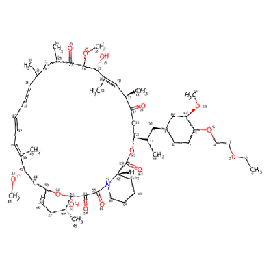 CCOCCOC1CC[C@@H](CC(C)[C@@H]2CC(=O)[C@H](C)/C=C(\C)[C@@H](O)C(OC)C(=O)C(C)CC(C)/C=C/C=C/C=C(\C)[C@@H](OC)C[C@@H]3CC[C@@H](C)[C@@](O)(O3)C(=O)C(=O)N3CCCC[C@H]3C(=O)O2)C[C@H]1OC